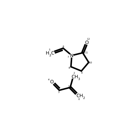 C=C(C)C=O.C=CN1CCCC1=O